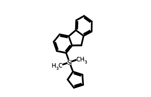 C[Si](C)(C1=CC=CC1)c1cccc2c1Cc1ccccc1-2